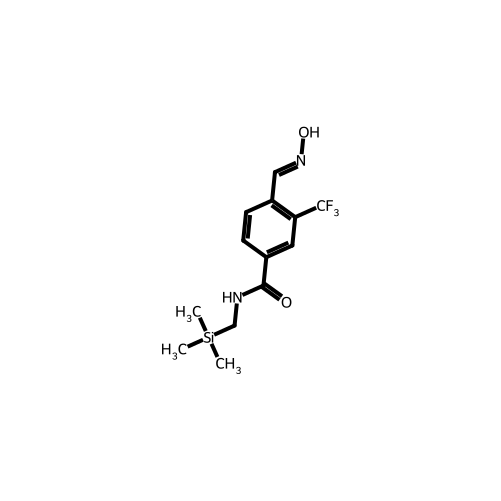 C[Si](C)(C)CNC(=O)c1ccc(C=NO)c(C(F)(F)F)c1